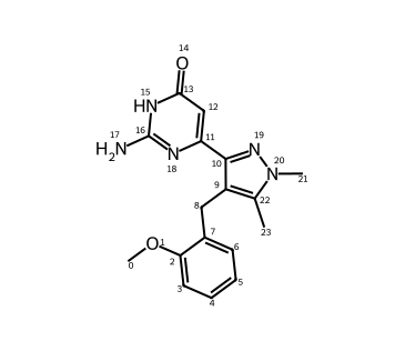 COc1ccccc1Cc1c(-c2cc(=O)[nH]c(N)n2)nn(C)c1C